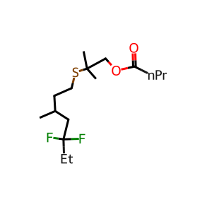 CCCC(=O)OCC(C)(C)SCCC(C)CC(F)(F)CC